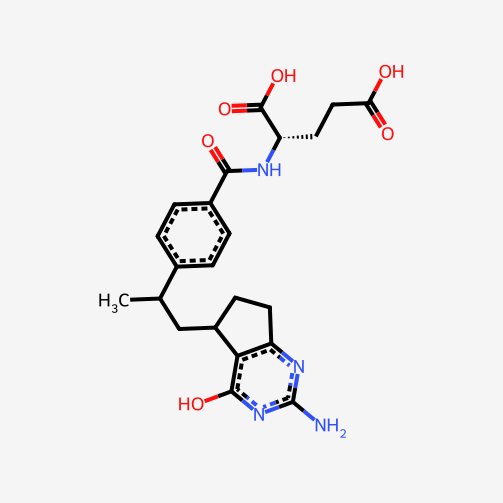 CC(CC1CCc2nc(N)nc(O)c21)c1ccc(C(=O)N[C@@H](CCC(=O)O)C(=O)O)cc1